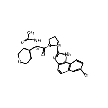 O=C(O)N[C@H](C(=O)N1CCC[C@H]1c1nc2ccc3cc(Br)ccc3c2[nH]1)C1CCOCC1